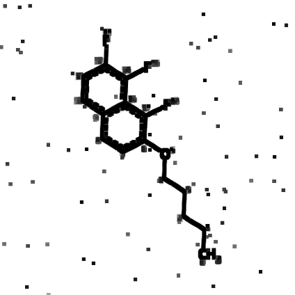 CCCCCOc1ccc2ccc(F)c(F)c2c1F